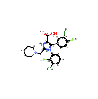 O=C(O)c1nc(CN2CCCCC2)n(-c2cccc(Cl)c2F)c1-c1ccc(F)c(Cl)c1